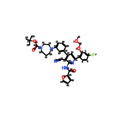 COCOc1cc(F)ccc1-c1cc(-c2cccc(N3CCCN(C(=O)OC(C)(C)C)CC3)c2)c(C#N)c(NC(=O)c2ccco2)n1